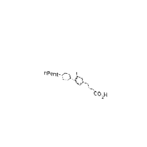 CCCCC[C@H]1CC[C@H](c2ccc(CCCC(=O)O)cc2C)CC1